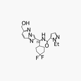 CCn1nccc1C(=O)N[C@H](c1cn2nc(CO)ccc2n1)C1CCC(F)(F)CC1